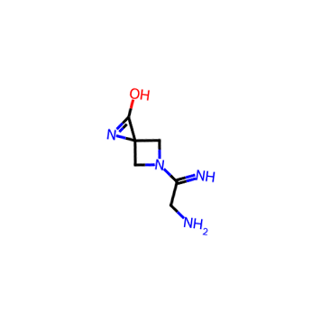 N=C(CN)N1CC2(C1)N=C2O